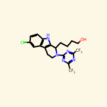 OCCCCC1c2[nH]c3ccc(Cl)cc3c2CCN1c1nc(C(F)(F)F)nc(C(F)(F)F)n1